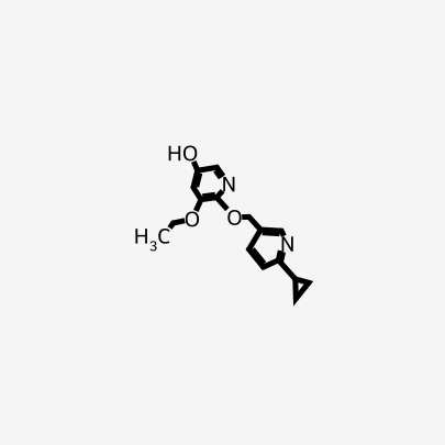 CCOc1cc(O)cnc1OCc1ccc(C2CC2)nc1